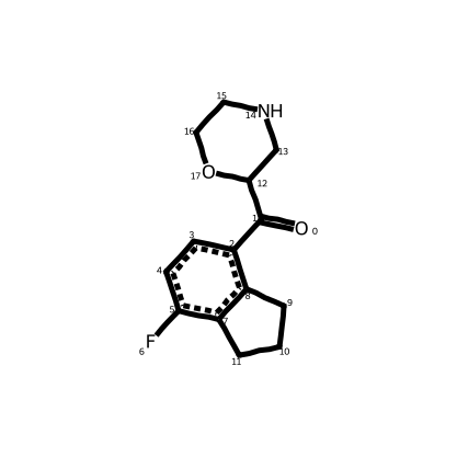 O=C(c1ccc(F)c2c1CCC2)C1CNCCO1